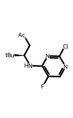 CC(=O)C[C@@H](Nc1nc(Cl)ncc1F)C(C)(C)C